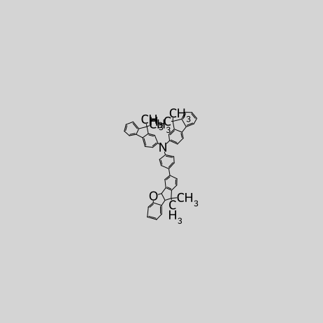 CC1(C)c2ccccc2-c2ccc(N(c3ccc(-c4ccc5c(c4)C4Oc6ccccc6C4C5(C)C)cc3)c3ccc4c(c3)C(C)(C)c3ccccc3-4)cc21